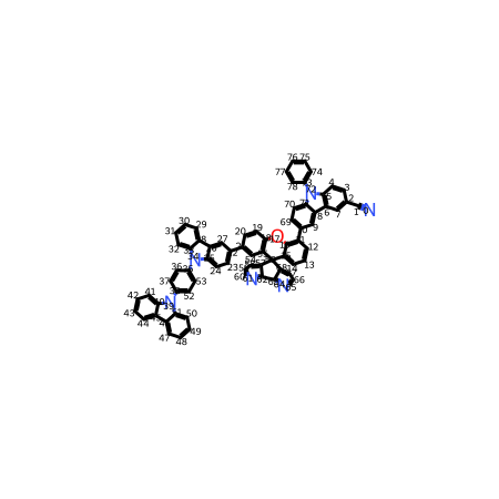 N#Cc1ccc2c(c1)c1cc(-c3cccc4c3Oc3ccc(-c5ccc6c(c5)c5ccccc5n6-c5ccc(-n6c7ccccc7c7ccccc76)cc5)cc3C43c4cccnc4-c4ncccc43)ccc1n2-c1ccccc1